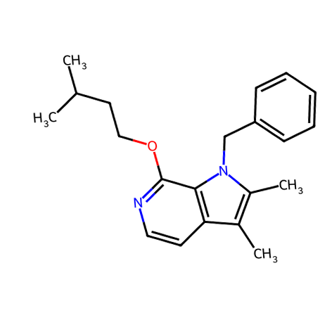 Cc1c(C)n(Cc2ccccc2)c2c(OCCC(C)C)nccc12